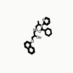 CC(CNCC(O)COc1cccc2ccccc12)N(C(=O)C1CCCCC1)c1ccccn1